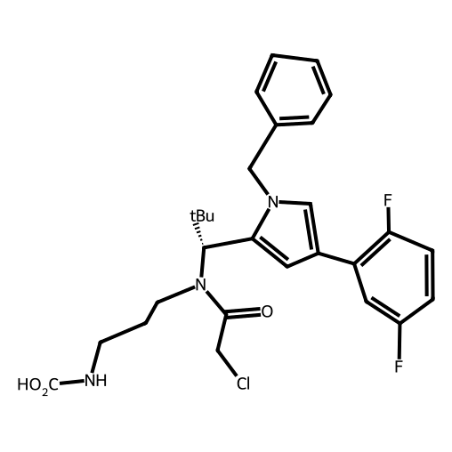 CC(C)(C)[C@H](c1cc(-c2cc(F)ccc2F)cn1Cc1ccccc1)N(CCCNC(=O)O)C(=O)CCl